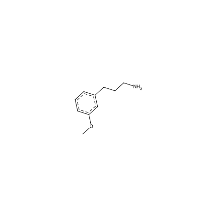 COc1cccc(CCCN)c1